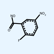 O=NC(=O)c1cc([N+](=O)[O-])ccc1F